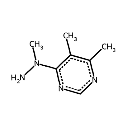 Cc1ncnc(N(C)N)c1C